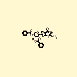 Nc1nc2nc([C@@H]3OC[C@@H](OC(=O)c4ccccc4)[C@@H](O)[C@H]3OC(=O)c3ccccc3)[nH]c2c(=O)[nH]1